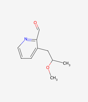 COC(C)Cc1cccnc1C=O